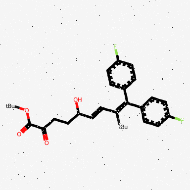 CC(C)(C)OC(=O)C(=O)CCC(O)C=CC(=C(c1ccc(F)cc1)c1ccc(F)cc1)C(C)(C)C